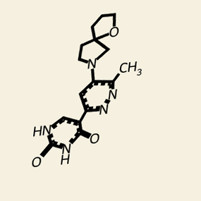 Cc1nnc(-c2c[nH]c(=O)[nH]c2=O)cc1N1CCC2(CCCO2)C1